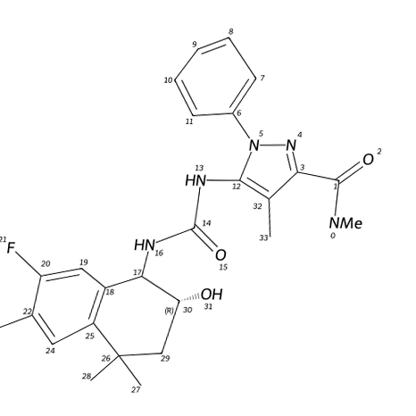 CNC(=O)c1nn(-c2ccccc2)c(NC(=O)NC2c3cc(F)c(F)cc3C(C)(C)C[C@H]2O)c1C